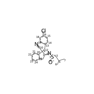 CC(=N[S@@+]([O-])CC(C)C)C(C#N)(Cc1ccc(Cl)cc1)c1ccccc1